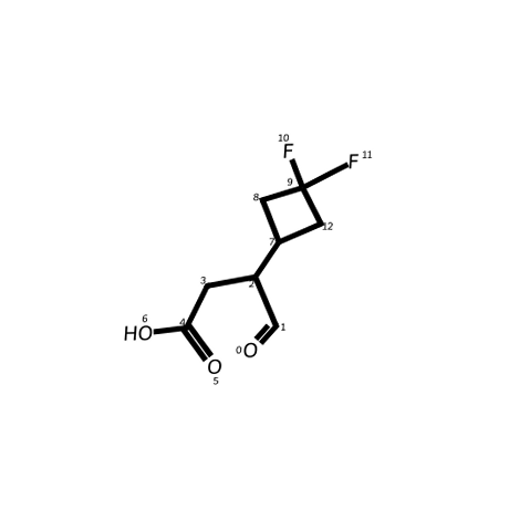 O=CC(CC(=O)O)C1CC(F)(F)C1